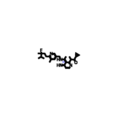 C/C(NCc1cnc(CCC(C)(F)C(C)C)c(C)c1)=C1/C(=N)C=CN=C1C(C)C(=O)C1CC1